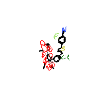 CC(=O)OC[C@H]1O[C@@H](c2ccc(Cl)c(Cc3ccc(-c4ccc(C#N)c(F)c4)s3)c2)[C@H](OC(C)=O)[C@@H](OC(C)=O)[C@@H]1OC(C)=O